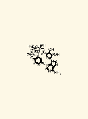 Nc1ncnc2c1ncn2[C@@H]1O[C@H](COP(=O)(O)OP(=O)(O)OP(=O)(O)Oc2ccc(Cl)cc2)[C@@H](O)[C@H]1O